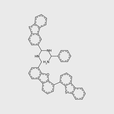 NC(NC(NCc1cccc2c1oc1c(-c3cccc4c3sc3ccccc34)cccc12)c1ccc2sc3ccccc3c2c1)c1ccccc1